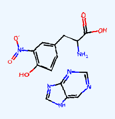 NC(Cc1ccc(O)c([N+](=O)[O-])c1)C(=O)O.c1ncc2[nH]cnc2n1